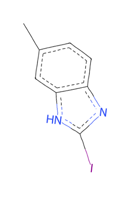 Cc1ccc2nc(I)[nH]c2c1